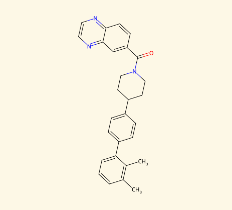 Cc1cccc(-c2ccc(C3CCN(C(=O)c4ccc5nccnc5c4)CC3)cc2)c1C